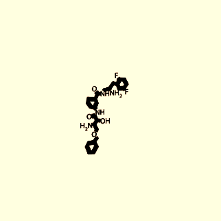 NC(CNC(=O)c1cccc(NC(=O)C(O)[C@H](N)COCc2ccccc2)c1)Cc1cc(F)ccc1F